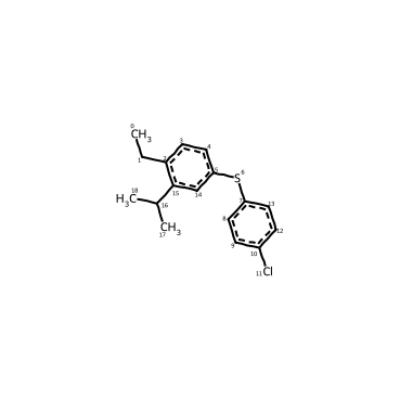 CCc1ccc(Sc2ccc(Cl)cc2)cc1C(C)C